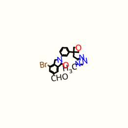 Cn1cnnc1CC1(c2cccc(N3Cc4c(Br)cc(C=O)cc4C3=O)c2)COC1